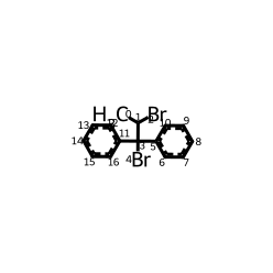 CC(Br)C(Br)(c1ccccc1)c1ccccc1